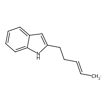 [CH2]/C=C/CCc1cc2ccccc2[nH]1